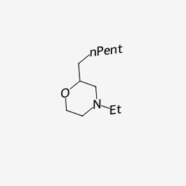 CCCCCCC1CN(CC)CCO1